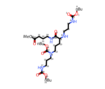 CCCCOC(=O)NCCCNC(CCCN(CCCNC(=O)OCCCC)C(=O)OCCCC)C(=O)NCCCC(=O)OC